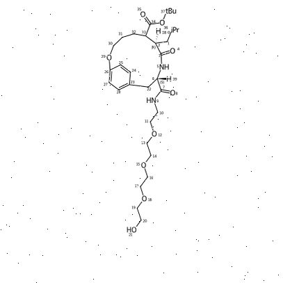 CC(C)C[C@H]1C(=O)N[C@H](C(=O)NCCOCCOCCOCCO)Cc2ccc(cc2)OCCCC1C(=O)OC(C)(C)C